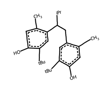 Cc1cc(O)c(C(C)(C)C)cc1CC(c1cc(C(C)(C)C)c(O)cc1C)C(C)C